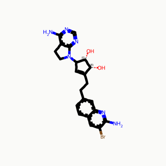 Nc1nc2cc(CCC3=CC(N4CCc5c(N)ncnc54)[C@H](O)[C@@H]3O)ccc2cc1Br